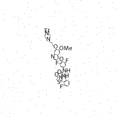 CCN1CCN(CCCOc2cc3nccc(Oc4c(F)cc(NC(=O)NN5C(=O)CS[C@H]5c5c(F)cccc5F)cc4F)c3cc2OC)CC1